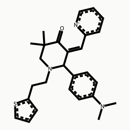 CN(C)c1ccc(C2C(=Cc3ccccn3)C(=O)C(C)(C)CN2CCc2cccs2)cc1